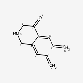 C=C/C=C1/CNCC(=O)/C1=C/C=C